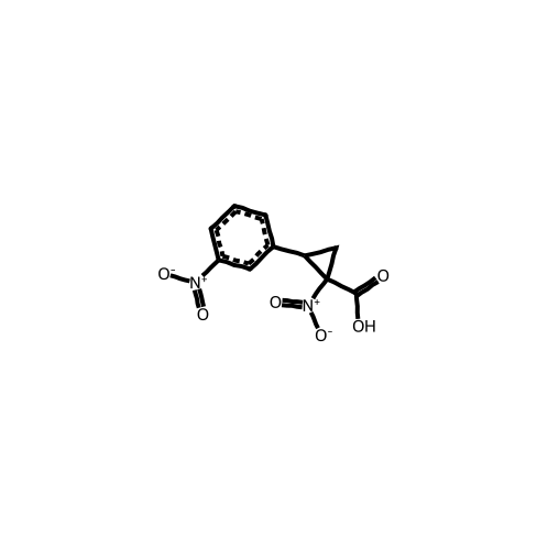 O=C(O)C1([N+](=O)[O-])CC1c1cccc([N+](=O)[O-])c1